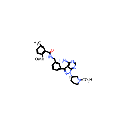 COc1ccc(C)cc1C(=O)NCc1cccc(-c2nn([C@@H]3CCCN(C(=O)O)C3)c3ncnc(N)c23)c1